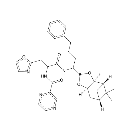 CC1(C)[C@@H]2C[C@H]3OB(C(CCCc4ccccc4)NC(=O)C(Cc4ncco4)NC(=O)c4cnccn4)O[C@@]3(C)[C@H]1C2